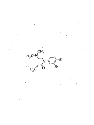 C=CC(=O)N(CCN(C)C)c1ccc(Br)c(Br)c1